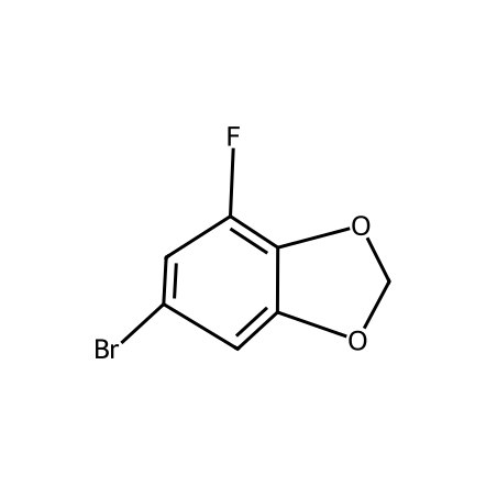 Fc1cc(Br)cc2c1OCO2